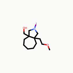 COCCC12CCCCCC1(CO)CN(I)C2